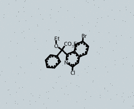 CCOC(=O)C(OCC)(c1ccccc1)c1nc(Cl)cc2ccc(Br)cc12